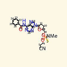 CNP(=S)(OCCC#N)OC[C@@H]1CC[C@H](n2cnc3c(NC(=O)c4ccccc4)ncnc32)O1